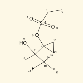 CCS(=O)(=O)OC1(C(C)(O)C(F)(F)F)CC1